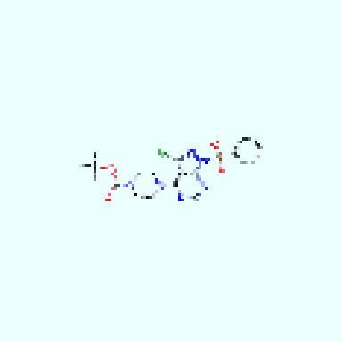 CC(C)(C)OC(=O)N1CCN(c2ncnc3c2c(Br)nn3S(=O)(=O)c2ccccc2)CC1